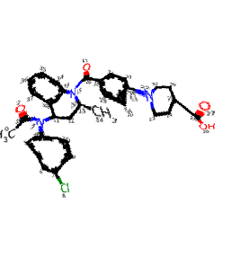 CC(=O)N(c1ccc(Cl)cc1)C1C[C@H](C)N(C(=O)c2ccc(N3CCC(C(=O)O)CC3)cc2)c2ccccc21